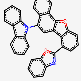 c1ccc2oc(-c3cccc4oc5c6ccccc6c(-n6c7ccccc7c7ccccc76)cc5c34)nc2c1